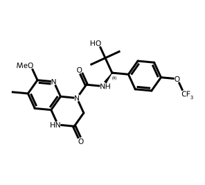 COc1nc2c(cc1C)NC(=O)CN2C(=O)N[C@H](c1ccc(OC(F)(F)F)cc1)C(C)(C)O